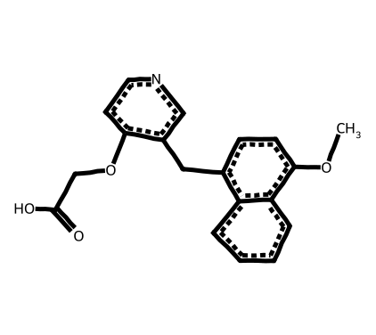 COc1ccc(Cc2cnccc2OCC(=O)O)c2ccccc12